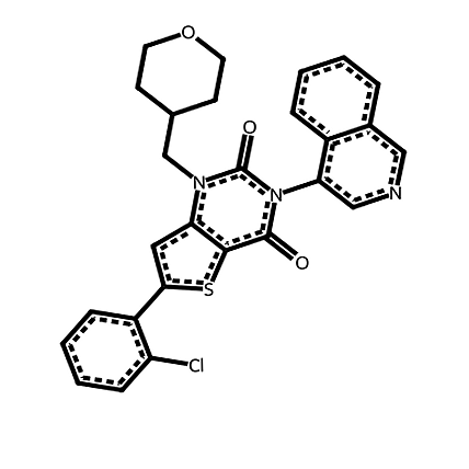 O=c1c2sc(-c3ccccc3Cl)cc2n(CC2CCOCC2)c(=O)n1-c1cncc2ccccc12